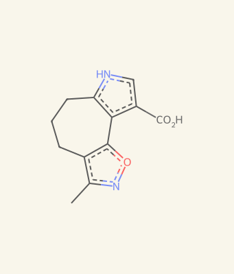 Cc1noc2c1CCCc1[nH]cc(C(=O)O)c1-2